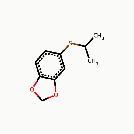 CC(C)Sc1ccc2c(c1)OCO2